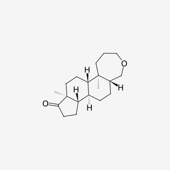 C[C@]12CCCOC[C@@H]1CC[C@@H]1[C@@H]2CC[C@]2(C)C(=O)CC[C@@H]12